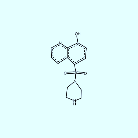 O=S(=O)(c1ccc(O)c2ncccc12)N1CCNCC1